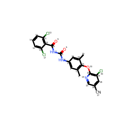 Cc1cc(NC(=O)NC(=O)c2c(Cl)cccc2Cl)cc(C)c1Oc1ncc(C#N)cc1Cl